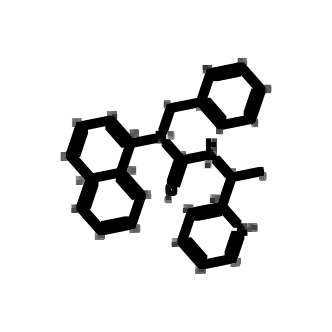 CC(NC(=O)N(Cc1ccccc1)c1cccc2ccccc12)c1ccccn1